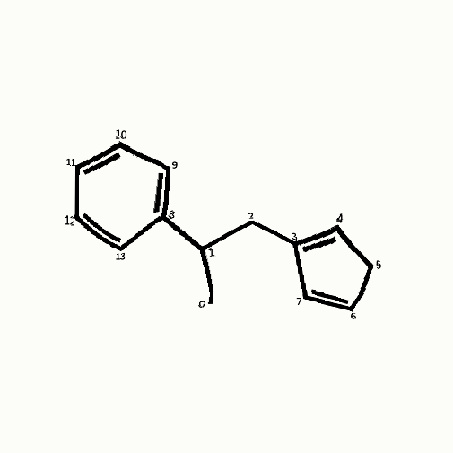 CC(CC1=CCC=C1)c1ccccc1